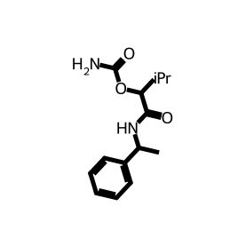 CC(NC(=O)C(OC(N)=O)C(C)C)c1ccccc1